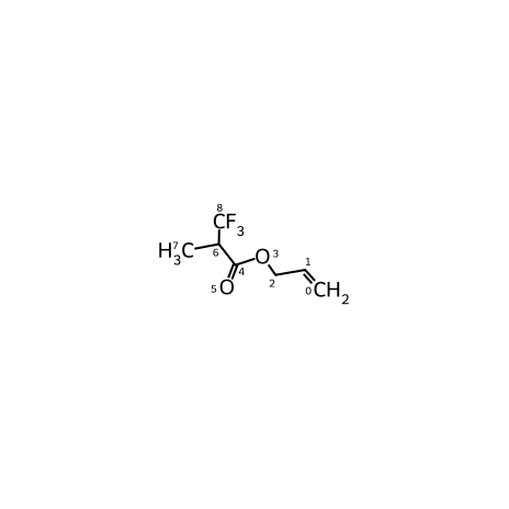 C=CCOC(=O)C(C)C(F)(F)F